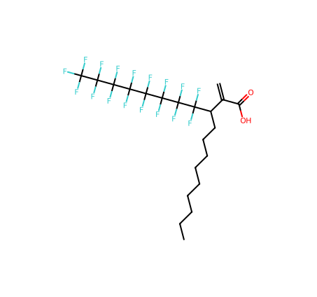 C=C(C(=O)O)C(CCCCCCCCC)C(F)(F)C(F)(F)C(F)(F)C(F)(F)C(F)(F)C(F)(F)C(F)(F)C(F)(F)F